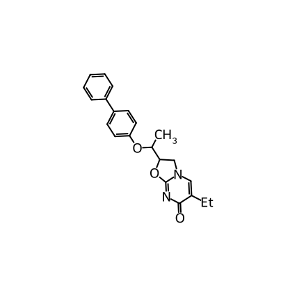 CCc1cn2c(nc1=O)OC(C(C)Oc1ccc(-c3ccccc3)cc1)C2